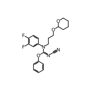 N#CN=C(Oc1ccccc1)N(CCCOC1CCCCO1)c1ccc(F)c(F)c1